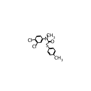 Cc1ccc(SC(=O)N(C)c2ccc(Cl)c(Cl)c2)cc1